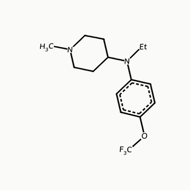 CCN(c1ccc(OC(F)(F)F)cc1)C1CCN(C)CC1